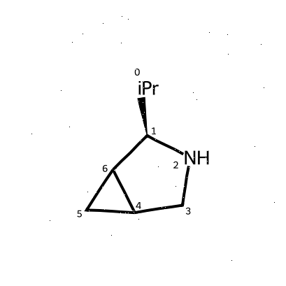 CC(C)[C@H]1NCC2CC21